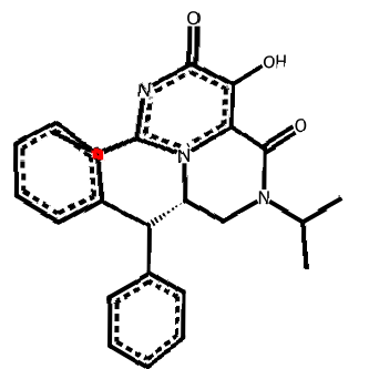 CSc1nc(=O)c(O)c2n1[C@@H](C(c1ccccc1)c1ccccc1)CN(C(C)C)C2=O